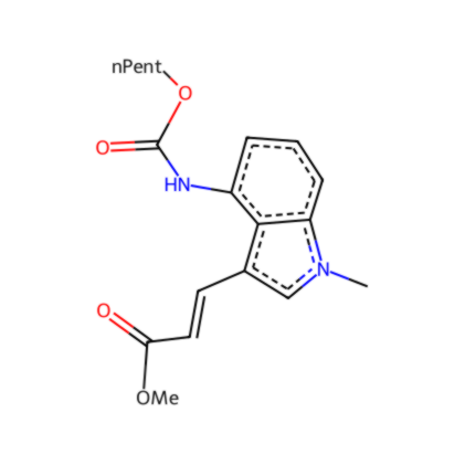 CCCCCOC(=O)Nc1cccc2c1c(C=CC(=O)OC)cn2C